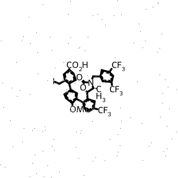 COc1ccc(-c2ccc(C(=O)O)cc2CI)cc1-c1ccc(C(F)(F)F)cc1C1OC(=O)N(Cc2cc(C(F)(F)F)cc(C(F)(F)F)c2)[C@@H]1C